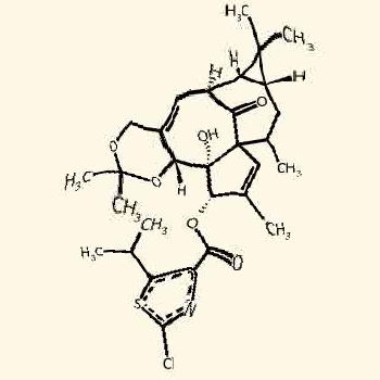 CC1=CC23C(=O)[C@@H](C=C4COC(C)(C)O[C@H]4[C@]2(O)[C@H]1OC(=O)c1nc(Cl)sc1C(C)C)[C@H]1[C@@H](CC3C)C1(C)C